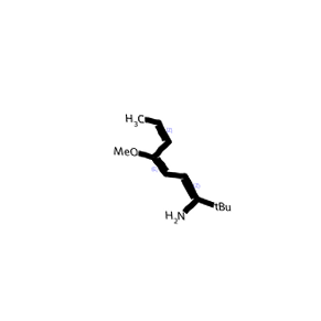 C\C=C/C(=C\C=C(/N)C(C)(C)C)OC